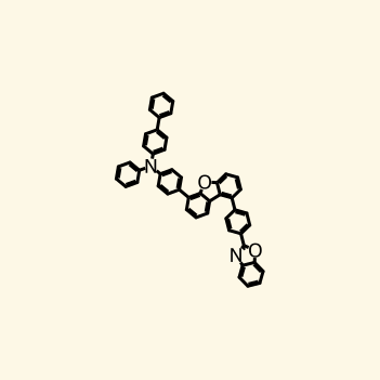 c1ccc(-c2ccc(N(c3ccccc3)c3ccc(-c4cccc5c4oc4cccc(-c6ccc(-c7nc8ccccc8o7)cc6)c45)cc3)cc2)cc1